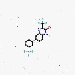 Cn1c(=O)c(C(F)(F)F)nc2cc(-c3cccc(C(F)(F)F)c3)ccc21